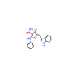 NC(=O)C1=C(Nc2ccccc2)O/C(=C\c2c[nH]c3ncccc23)C1=O